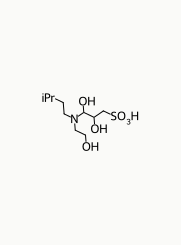 CC(C)CCN(CCO)C(O)C(O)CS(=O)(=O)O